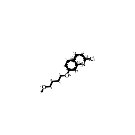 COCCCCOc1ccc2ccc(Cl)nc2c1